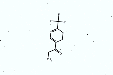 CCC(=O)C1=CC=C(C(F)(F)F)CC1